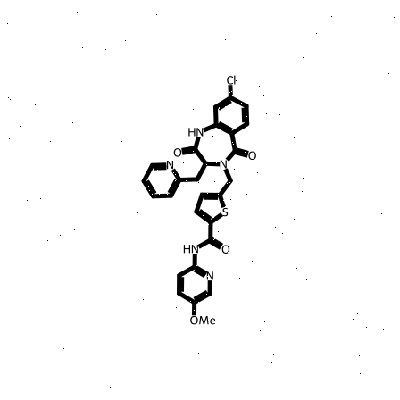 COc1ccc(NC(=O)c2ccc(CN3C(=O)c4ccc(Cl)cc4NC(=O)C3Cc3ccccn3)s2)nc1